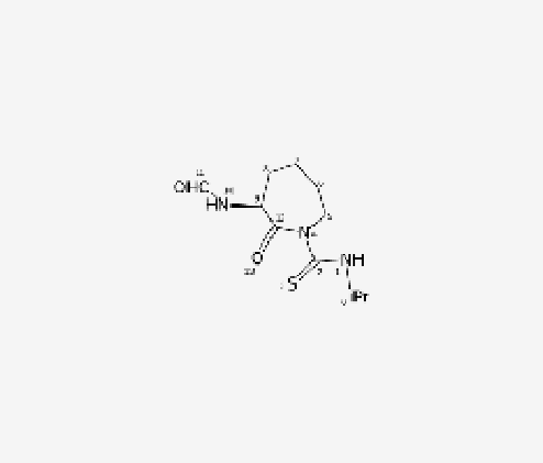 CC(C)NC(=S)N1CCCC[C@H](NC=O)C1=O